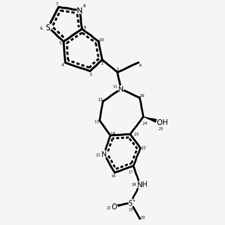 CC(c1ccc2scnc2c1)N1CCc2ncc(N[S+](C)[O-])cc2[C@H](O)C1